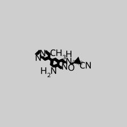 Cc1cn2ccnc2cc1-c1cc(N)c2cnc(NC(=O)[C@H]3C[C@@H]3C#N)cc2c1